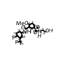 COc1ccc(S(=O)(=O)NCCO)cc1C(=O)Nc1ccc(F)c(C(F)F)c1